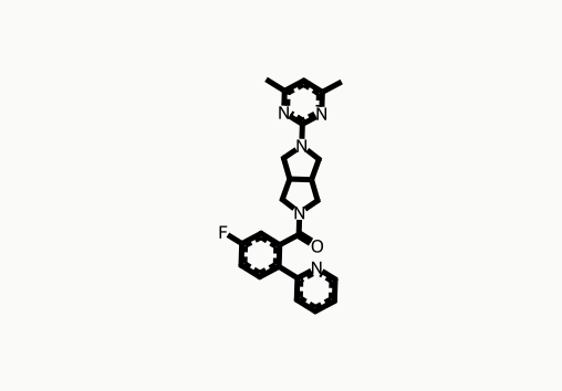 Cc1cc(C)nc(N2CC3CN(C(=O)c4cc(F)ccc4-c4ccccn4)CC3C2)n1